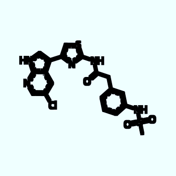 CS(=O)(=O)Nc1cccc(CC(=O)Nc2nc(-c3c[nH]c4ncc(Cl)cc34)cs2)c1